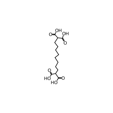 O=C(O)C(CCCCCCCCC(C(=O)O)C(=O)O)C(=O)O